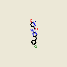 CN1N=C(C(=O)Nc2ncc(Cc3cccc(Cl)c3)cn2)CCC1=O